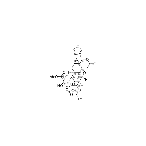 CCC(=O)O[C@@H]1[C@H]2C(=O)[C@](C)([C@H]3CC[C@]4(C)[C@@H](CC(=O)O[C@H]4c4ccoc4)[C@]34O[C@H]24)[C@@H]([C@@H](O)C(=O)OC)C1(C)C